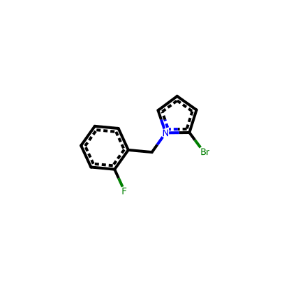 Fc1ccccc1Cn1cccc1Br